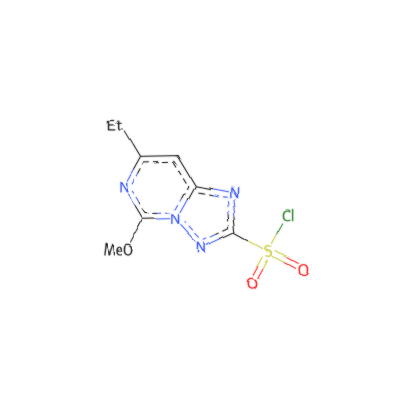 CCc1cc2nc(S(=O)(=O)Cl)nn2c(OC)n1